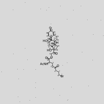 CC(=O)NC(CSC(=O)CCCBr)C(=O)OCC(=O)[C@@]1(O)CC[C@H]2[C@@H]3CCC4=CC(=O)C=C[C@]4(C)[C@H]3[C@@H](O)C[C@@]21C